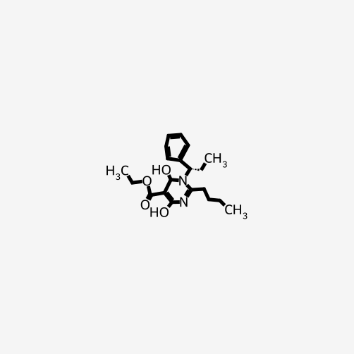 CCCCC1=NC(O)=C(C(=O)OCC)C(O)N1[C@@H](CC)c1ccccc1